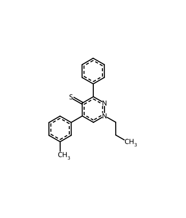 CCCn1cc(-c2cccc(C)c2)c(=S)c(-c2ccccc2)n1